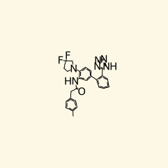 Cc1ccc(CC(=O)Nc2cc(-c3ccccc3-c3nnn[nH]3)ccc2N2CCC(F)(F)C2)cc1